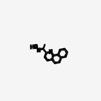 CC(=NO)c1ccc2ccc3ccccc3c2n1